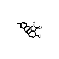 Cc1ccc2c(c1)C1=C3C=CC(Cl)C4=C3C2(C=C1)NC4=O